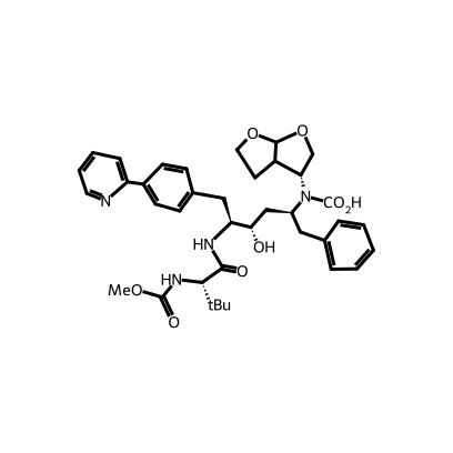 COC(=O)N[C@H](C(=O)N[C@@H](Cc1ccc(-c2ccccn2)cc1)[C@@H](O)C[C@H](Cc1ccccc1)N(C(=O)O)[C@H]1COC2OCCC21)C(C)(C)C